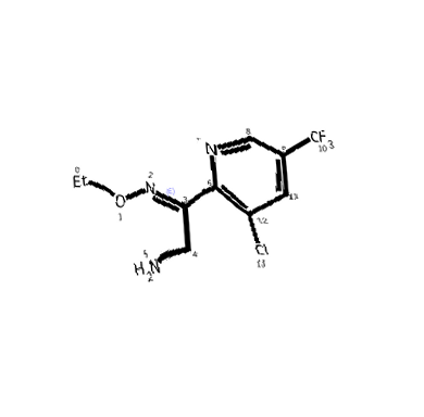 CCO/N=C(\CN)c1ncc(C(F)(F)F)cc1Cl